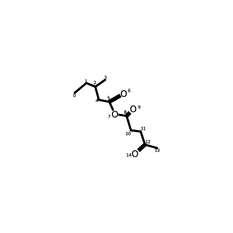 CCC(C)CC(=O)OC(=O)CCC(C)=O